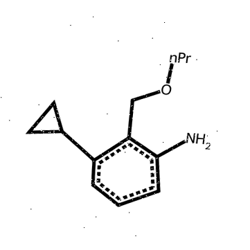 CCCOCc1c(N)cccc1C1CC1